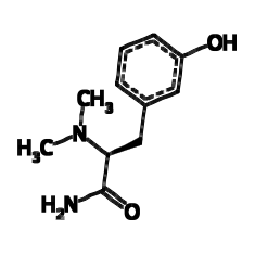 CN(C)[C@@H](Cc1cccc(O)c1)C(N)=O